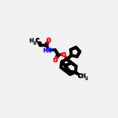 C=CC(=O)NCC(=O)OC1(C2CCCC2)C2CC3CC1CC(C)(C3)C2